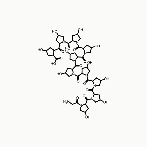 NCC(=O)N1CC(O)CC1C(=O)N1CC(O)CC1C(=O)N1CC(O)CC1C(=O)N1CC(O)CC1C(=O)N1CC(O)CC1C(=O)N1CC(O)CC1C(=O)N1CC(O)CC1C(=O)N1CC(O)CC1C(=O)N1CC(O)CC1C(=O)N1CC(O)CC1C(=O)O